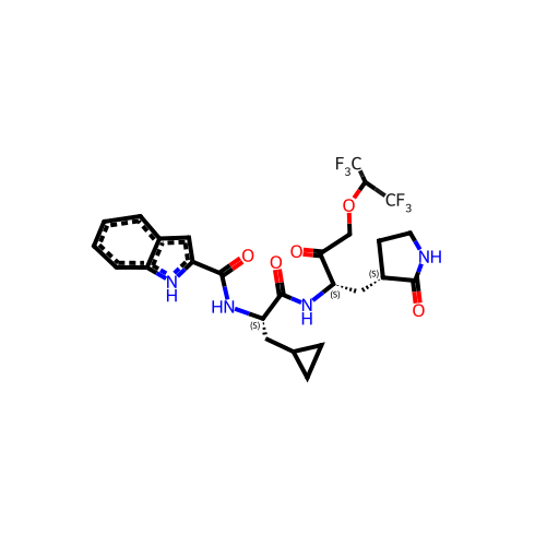 O=C(N[C@@H](CC1CC1)C(=O)N[C@@H](C[C@@H]1CCNC1=O)C(=O)COC(C(F)(F)F)C(F)(F)F)c1cc2ccccc2[nH]1